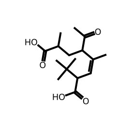 CC(=O)C(CC(C)C(=O)O)/C(C)=C\C(C(=O)O)C(C)(C)C